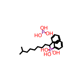 CC(C)CCCCCCC(c1ccccc1)P(O)(O)(O)c1ccccc1.OP(O)O